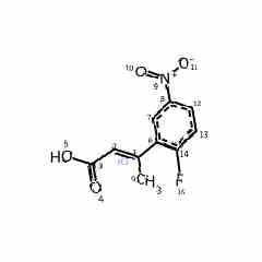 C/C(=C\C(=O)O)c1cc([N+](=O)[O-])ccc1F